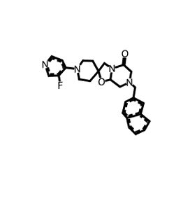 O=C1CN(Cc2ccc3ccccc3c2)CC2OC3(CCN(c4ccncc4F)CC3)CN12